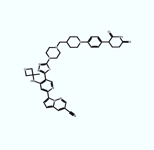 CC1(Nc2cc(-c3ccc4cc(C#N)cnn34)ncc2-c2nnc(N3CCN(CC4CCN(c5ccc(C6CCC(=O)NC6=O)cc5)CC4)CC3)s2)COC1